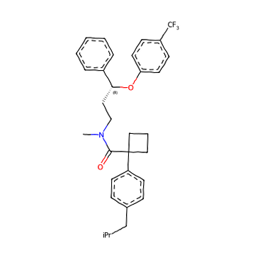 CC(C)Cc1ccc(C2(C(=O)N(C)CC[C@@H](Oc3ccc(C(F)(F)F)cc3)c3ccccc3)CCC2)cc1